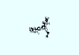 N#C[C@@H]1C[C@@H]1COc1nc(C(=O)NC2CC(F)(F)C2)cc(N2CCC(COc3cncnc3N)CC2)n1